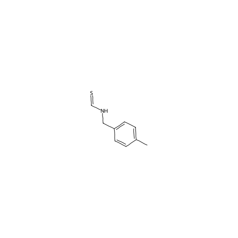 Cc1ccc(CNC=S)cc1